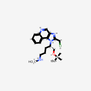 CC(C)(C)[Si](C)(C)OC[C@H](CCCNC(=O)O)n1c(CCl)nc2cnc3ccccc3c21